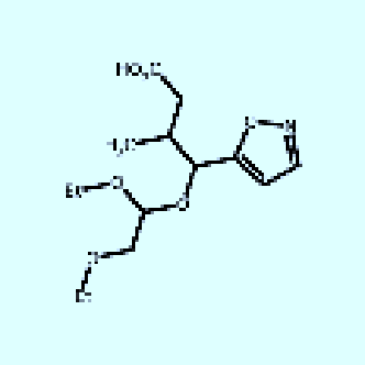 CCOCC(OCC)OC(c1ccno1)C(C)CC(=O)O